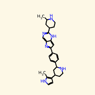 Cc1[nH]ccc1C1CCNC(c2ccc(-c3cc4[nH]c(C5CCNC(C)C5)ncc-4n3)cc2)C1